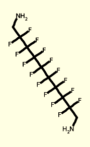 NCC(F)(F)C(F)(F)C(F)(F)C(F)(F)C(F)(F)C(F)(F)C(F)(F)C(F)(F)CN